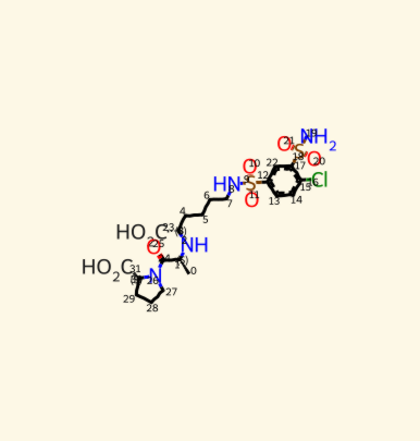 C[C@H](N[C@@H](CCCCNS(=O)(=O)c1ccc(Cl)c(S(N)(=O)=O)c1)C(=O)O)C(=O)N1CCC[C@H]1C(=O)O